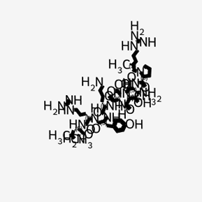 CC(C)C[C@H](NC(=O)[C@H](CCCNC(=N)N)NC(=O)[C@H](Cc1ccc(O)cc1)NC(=O)[C@H](CCCCN)NC(=O)[C@H](CC(=O)O)NC(=O)[C@@H](NC(=O)[C@H](CN)NC(=O)[C@@H]1CCCN1C(=O)[C@@H](C)CCCNC(=N)N)[C@@H](C)O)C(N)=O